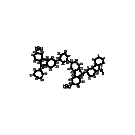 Cn1c2ccccc2c2cc(-n3c4ccc(-c5cccc(-c6ccc7c(c6)c6cc(C(C)(C)C)ccc6n7-c6ccccc6)c5)cc4c4cc(C(C)(C)C)ccc43)ccc21